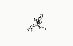 N#Cc1ccc(OC[C@H]2CN(S(=O)(=O)c3ccc(Cl)cc3C#N)CC2CN)cc1F